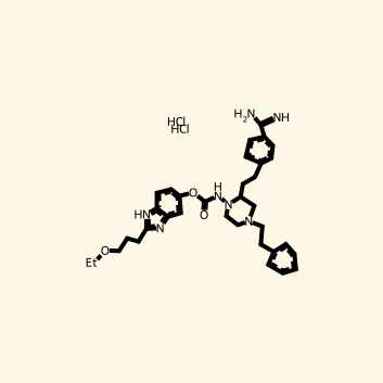 CCOCCCc1nc2cc(OC(=O)NN3CCN(CCc4ccccc4)CC3CCc3ccc(C(=N)N)cc3)ccc2[nH]1.Cl.Cl